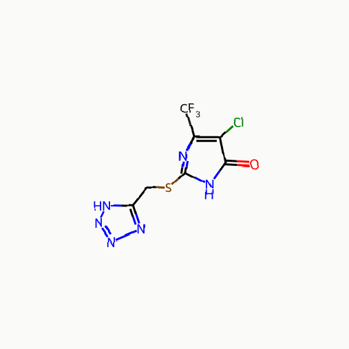 O=c1[nH]c(SCc2nnn[nH]2)nc(C(F)(F)F)c1Cl